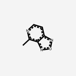 Cc1nccc2nonc12